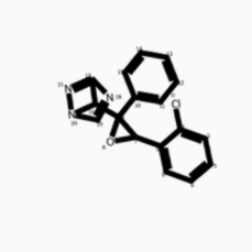 Clc1ccccc1C1OC1(c1ccccc1)C1c2ncn1n2